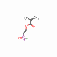 C=C(C)C(=O)OCC[PH](=O)Cl